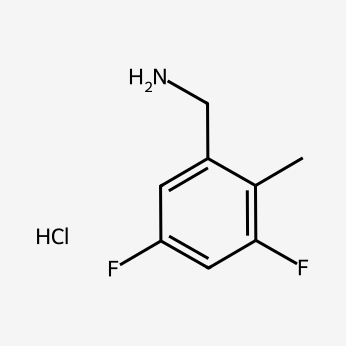 Cc1c(F)cc(F)cc1CN.Cl